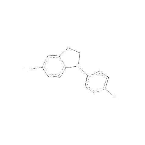 Nc1ccc(N2CCc3cc(N)ccc32)cc1